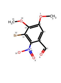 COc1cc(C=O)c([N+](=O)[O-])c(Br)c1OC